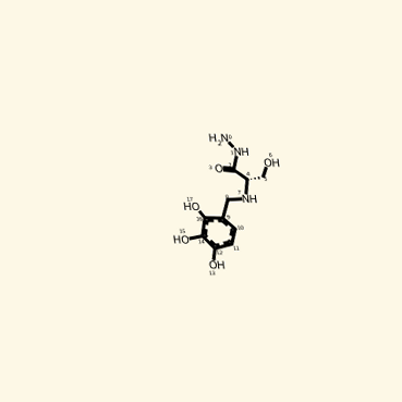 NNC(=O)[C@H](CO)NCc1ccc(O)c(O)c1O